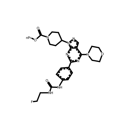 CCCOC(=O)N1CCC(n2ncc3c(N4CCOCC4)nc(-c4ccc(NC(=O)NCCF)cc4)nc32)CC1